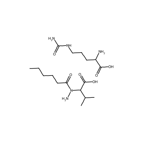 CCCCCC(=O)N(N)C(C(=O)O)C(C)C.NC(=O)NCCCC(N)C(=O)O